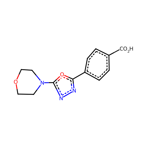 O=C(O)c1ccc(-c2nnc(N3CCOCC3)o2)cc1